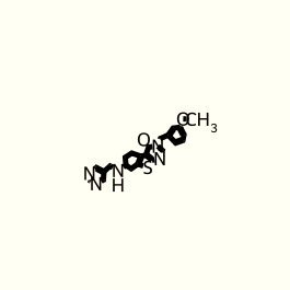 COc1cccc(Cn2cnc3sc4c(c3c2=O)CCC(NCc2cncnc2)C4)c1